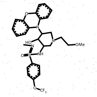 CN=S(=O)(NC1CN(CCOC)CC(N2c3ccccc3Oc3ccccc32)C1O)c1ccc(OC(F)(F)F)cc1